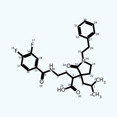 CC(C)CC1(C(CCNC(=O)c2ccc(F)c(F)c2)C(=O)O)CCN(CCc2ccccc2)C1=O